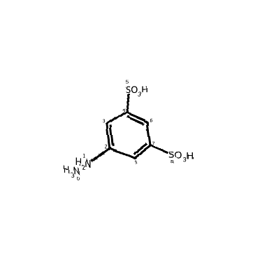 N.Nc1cc(S(=O)(=O)O)cc(S(=O)(=O)O)c1